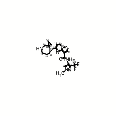 Cn1cc(NC(=O)c2cnn3ccc(N4CCCNCC45CC5)nc23)c(C(F)(F)F)n1